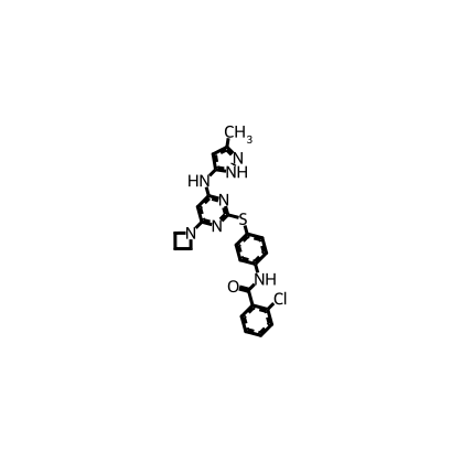 Cc1cc(Nc2cc(N3CCC3)nc(Sc3ccc(NC(=O)c4ccccc4Cl)cc3)n2)[nH]n1